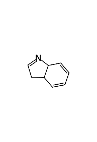 C1=CC2CC=NC2C=C1